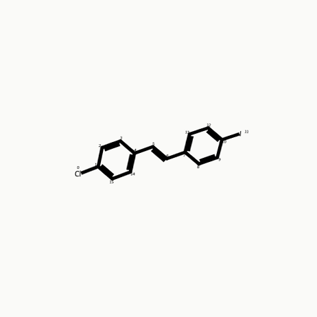 Clc1ccc(C=Cc2ccc(I)cc2)cc1